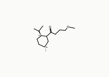 COCCCC(=O)C1C[C@H](C)CC[C@H]1C(C)C